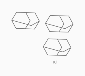 C1C2CC3CC1CC(C2)C3.C1C2CC3CC1CC(C2)C3.C1C2CC3CC1CC(C2)C3.Cl